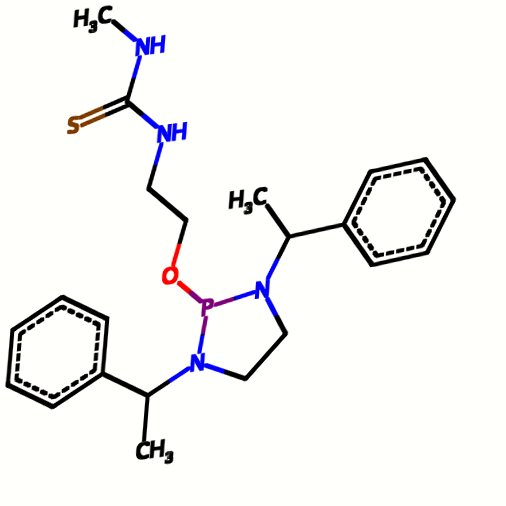 CNC(=S)NCCOP1N(C(C)c2ccccc2)CCN1C(C)c1ccccc1